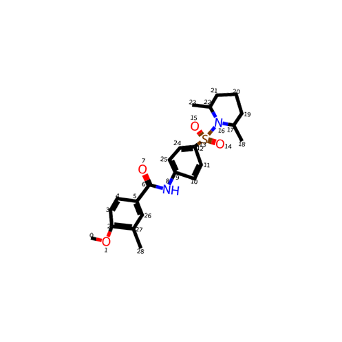 COc1ccc(C(=O)Nc2ccc(S(=O)(=O)N3C(C)CCCC3C)cc2)cc1C